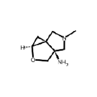 CN1C[C@]2(N)CO[C@H]3C[C@]32C1